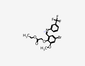 CCOC(=O)COc1c(/C=N\c2cccc(C(F)(F)F)c2)cc(Br)cc1OC